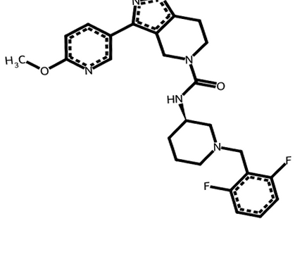 COc1ccc(-c2n[nH]c3c2CN(C(=O)N[C@@H]2CCCN(Cc4c(F)cccc4F)C2)CC3)cn1